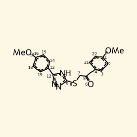 COc1ccc(C(=O)CSc2nnc(-c3ccc(OC)cc3)[nH]2)cc1